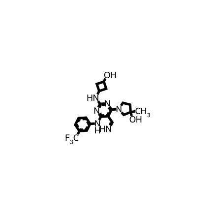 CC1(O)CCN(c2nc(NC3CC(O)C3)nc(Nc3cccc(C(F)(F)F)c3)c2C=N)C1